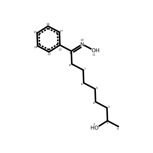 CC(O)CCCCCCC(=NO)c1ccccc1